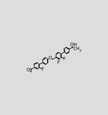 CC(O)c1ccc(-c2ccc(COc3ccc(-c4ccc(C5CO5)cc4F)cc3)c(F)c2F)cc1